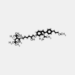 COCCCc1ccc(-c2cc3ccc(OCC(O)CCCCOC(=O)C(CC(C)(C)C)C(C)(C)C)cc3n2C(C)C)cc1